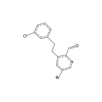 O=Cc1ncc(Br)cc1CCc1cccc(Cl)c1